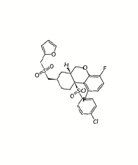 O=S(=O)(Cc1ccco1)C[C@@H]1CC[C@@]2(S(=O)(=O)c3ccc(Cl)cc3)c3c(F)ccc(F)c3OC[C@H]2C1